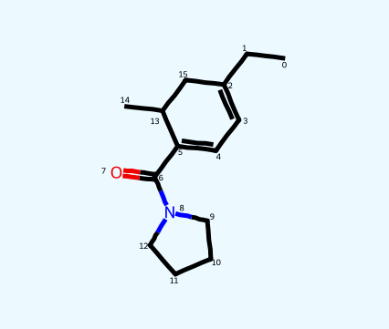 CCC1=CC=C(C(=O)N2CCCC2)C(C)C1